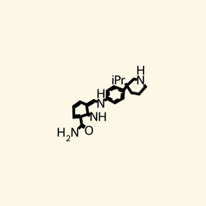 CC(C)C1(c2ccc(N/C=C3/C=CC=C(C(N)=O)C3=N)cc2)CCCNC1